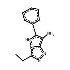 CCc1nnc2c(N)c(-c3ccccc3)[nH]n12